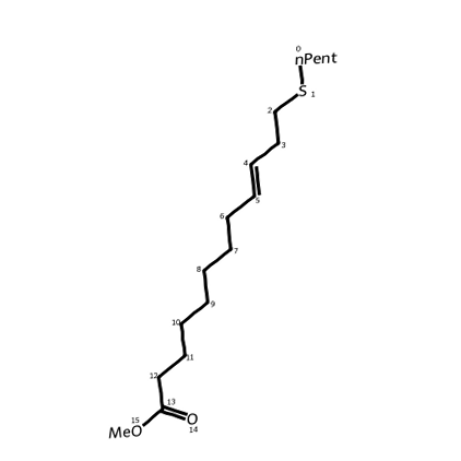 CCCCCSCCC=CCCCCCCCC(=O)OC